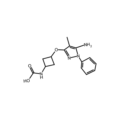 Cc1c(OC2CC(NC(=O)O)C2)nn(-c2ccccc2)c1N